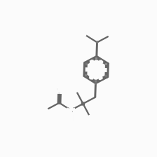 CC(=O)NC(C)(C)Cc1ccc(C(C)C)cc1